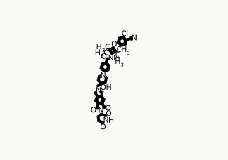 CC1(C)[C@H](NC(=O)c2ccc(N3CCC(O)(CN4Cc5cc6c(cc5C4)C(=O)N(C4CCC(=O)NC4=O)C6=O)CC3)cc2)C(C)(C)[C@H]1Oc1ccc(C#N)c(Cl)c1